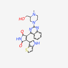 CN1CCN(c2nc(C3=C(c4c[nH]c5ccsc45)C(=O)NC3=O)c3ccccc3n2)CC1CO